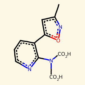 Cc1cc(-c2cccnc2N(C(=O)O)C(=O)O)on1